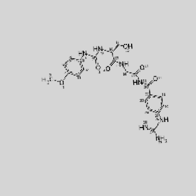 COc1ccc(NC(=O)N[C@@H](CO)C(=O)NCC(=O)NC(=O)c2ccc(NC(=N)N)cc2)cc1